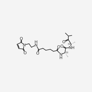 CC(C)C(=O)[C@H](C)NC(=O)[C@H](C)NC(=O)CCCCC(=O)NCCN1C(=O)C=CC1=O